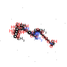 COc1cccc2c1C(=O)c1c(O)c3c(c(O)c1C2=O)C[C@@](O)(C(=O)CO)C[C@@H]3O[C@H]1C[C@H](NC(=O)OCc2ccc(NC(=O)[C@@H](CC(N)=O)NC(=O)[C@@H](C)NC(=O)[C@@H](C)NC(=O)CCOCCOCCOCCN3C(=O)C=C[C@H]3O)cc2)[C@H](O)[C@H](C)O1